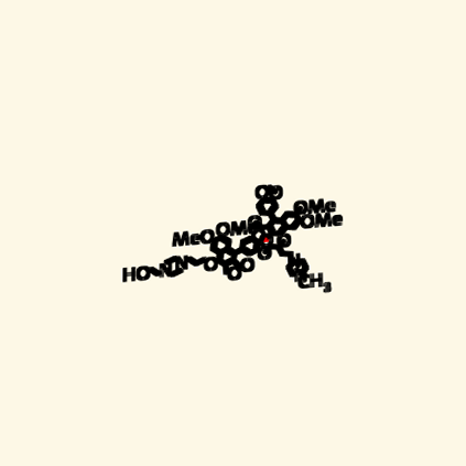 COc1cc2c(OCCCN3CCN(CCO)CC3)c3c(c(-c4ccc5c(c4)OC(C(CCN4CCN(C)CC4)Oc4c6c(c(-c7ccc8c(c7)OCO8)c7cc(OC)c(OC)cc47)C(=O)OC6)O5)c2cc1OC)C(=O)OC3